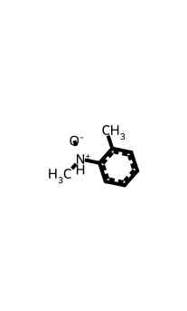 Cc1ccccc1[NH+](C)[O-]